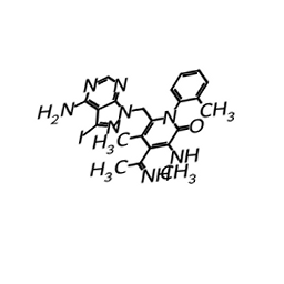 CNc1c(C(C)=N)c(C)c(Cn2nc(I)c3c(N)ncnc32)n(-c2ccccc2C)c1=O